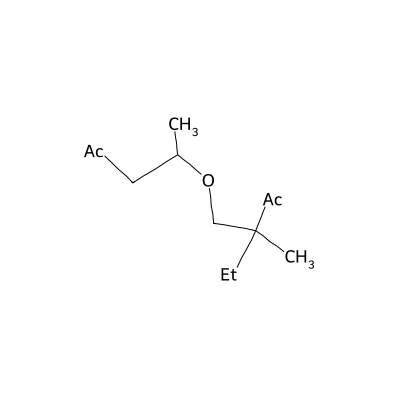 CCC(C)(COC(C)CC(C)=O)C(C)=O